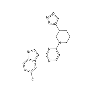 Clc1ccc2ncc(-c3nccc(N4CCCC(c5cnoc5)C4)n3)n2c1